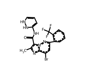 Cc1nc2c(Br)cc(-c3ccccc3C(F)(F)F)nn2c1C(=O)NC1=CC=CNN1